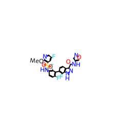 COc1ncc(F)cc1S(=O)(=O)Nc1ccc(F)c(-c2ccc3c(C(=O)Nc4cnoc4)n[nH]c3c2F)c1F